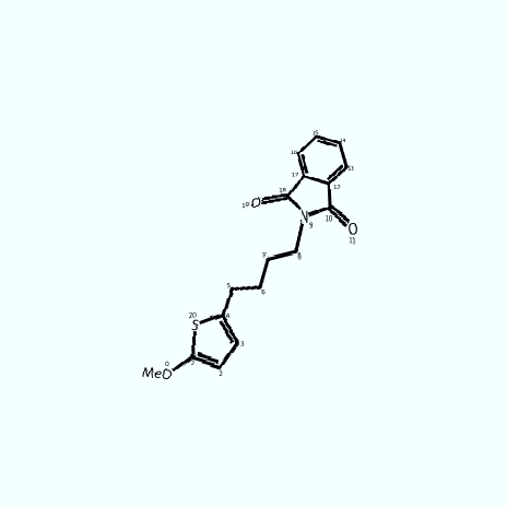 COc1ccc(CCCCN2C(=O)c3ccccc3C2=O)s1